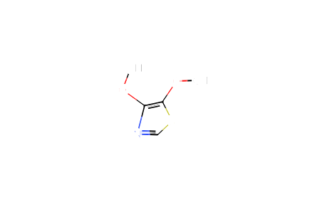 COc1ncsc1OC